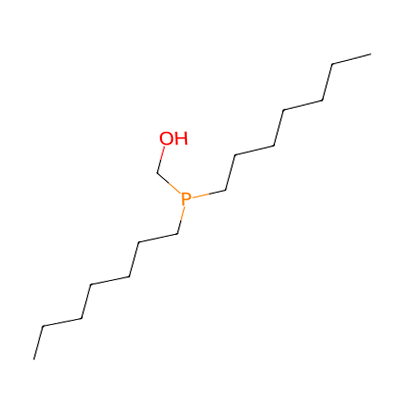 CCCCCCCP(CO)CCCCCCC